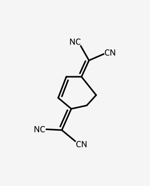 N#CC(C#N)=C1C=CC(=C(C#N)C#N)CC1